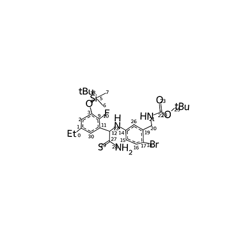 CCc1cc(O[Si](C)(C)C(C)(C)C)c(F)c(C(Nc2ccc(Br)c(CNC(=O)OC(C)(C)C)c2)C(N)=S)c1